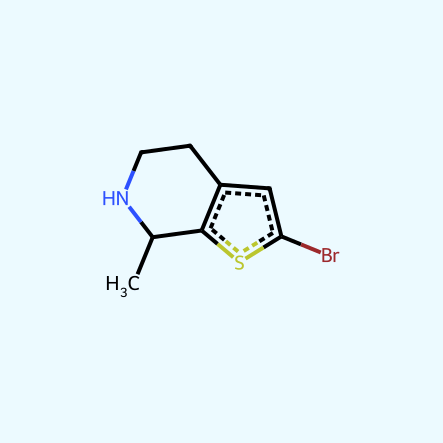 CC1NCCc2cc(Br)sc21